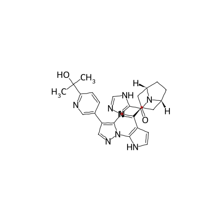 CC(C)(O)c1ccc(-c2cnn3c2nc([C@@H]2C[C@H]4CC[C@@H](C2)N4C(=O)c2nnc[nH]2)c2cc[nH]c23)cn1